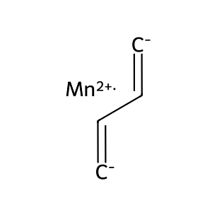 [CH-]=CC=[CH-].[Mn+2]